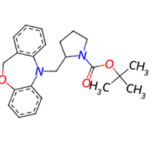 CC(C)(C)OC(=O)N1CCCC1CN1c2ccccc2COc2ccccc21